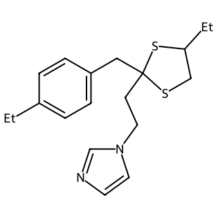 CCc1ccc(CC2(CCn3ccnc3)SCC(CC)S2)cc1